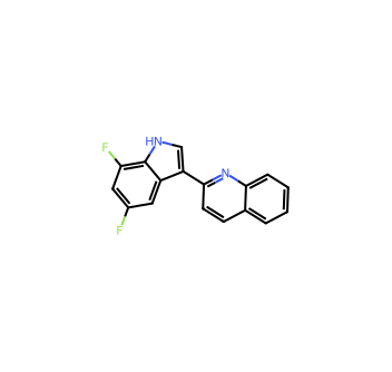 Fc1cc(F)c2[nH]cc(-c3ccc4ccccc4n3)c2c1